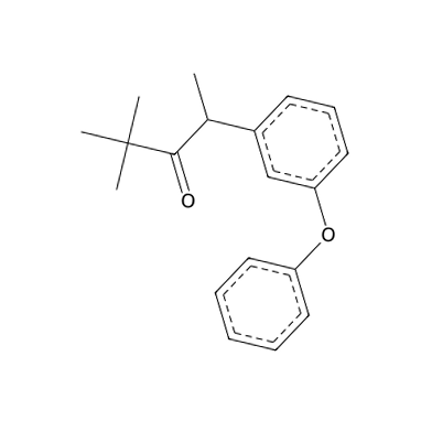 CC(C(=O)C(C)(C)C)c1cccc(Oc2ccccc2)c1